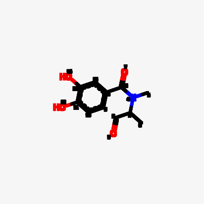 CC(C=O)N(C)C(=O)c1ccc(O)c(O)c1